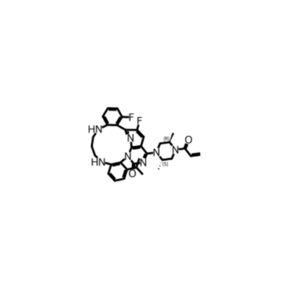 C=CC(=O)N1C[C@H](C)N(c2nc(=O)n3c4nc(c(F)cc24)-c2c(F)cccc2NCCCNc2cccc(C(C)C)c2-3)C[C@H]1C